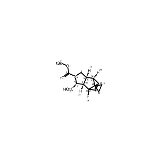 CC(C)(C)OC(=O)N1C[C@H]2[C@@H]([C@H]1C(=O)O)[C@H]1C=C[C@@H]2C12CC2